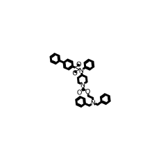 O=C(OCCN(Cc1ccccc1)Cc1ccccc1)N1CCC(N(c2ccccc2)S(=O)(=O)c2ccc(-c3ccccc3)cc2)CC1